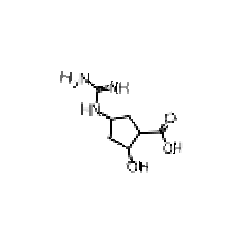 N=C(N)NC1CC(O)C(C(=O)O)C1